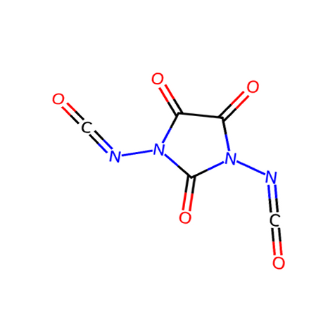 O=C=NN1C(=O)C(=O)N(N=C=O)C1=O